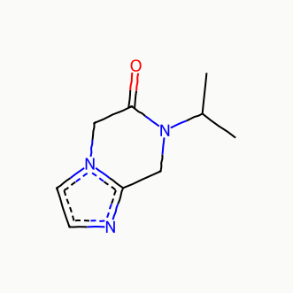 CC(C)N1Cc2nccn2CC1=O